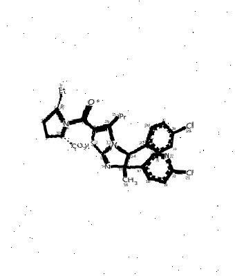 CC[C@@H]1CC[C@@H](C(=O)O)N1C(=O)C1=C(C(C)C)N2C(=NC(C)(c3ccc(Cl)nc3)C2c2ccc(Cl)cc2)S1